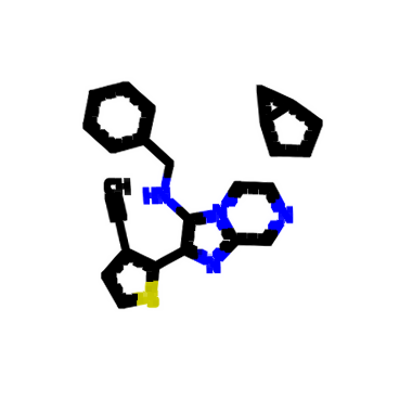 C#Cc1ccsc1-c1nc2cnccn2c1NCc1ccccc1.c1cc2cc-2c1